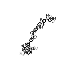 CC(C)(C)n1nc(-c2noc(C3CC3)c2-c2ncc(C3CCN(C(=O)OCC(=O)N4CCC(O)(CN5CCN(c6c(F)cc(NC7CCC(=O)NC7=O)cc6F)CC5)CC4)CC3)cn2)c2c(N)ncnc21